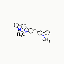 Cn1c2ccccc2c2cc(Cc3ccc4c(c3)c3ccc5c6ccccc6n(C)c5c3n4C)ccc21